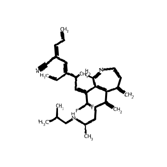 C=C/C=C(C#N)\C=C(/C=C)C(C)/C=C(\C1=C(C(=C)CC[C@@H](C)NCC(C)C)C(=C)C=CN=C1C)C(F)F